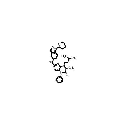 CC(C)CCN1c2nc(Nc3ccc4c(cnn4C4CCCCO4)c3)ncc2N(c2ccccc2)C(=O)C1C